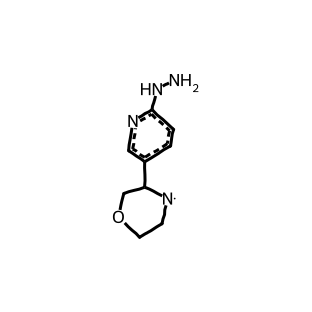 NNc1ccc(C2COCC[N]2)cn1